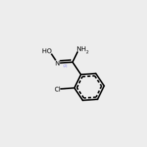 N/C(=N\O)c1ccccc1Cl